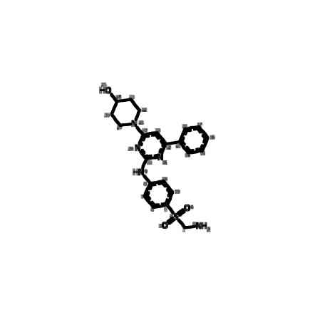 NCS(=O)(=O)c1ccc(Nc2nc(-c3ccccc3)cc(N3CCC(O)CC3)n2)cc1